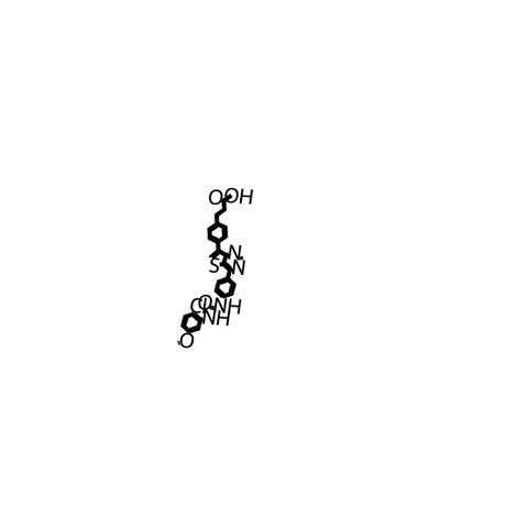 COc1ccc(Cl)c(NC(=O)Nc2ccc(-c3ncnc4c(-c5ccc(CCC(=O)O)cc5)csc34)cc2)c1